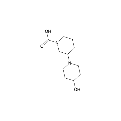 O=C(O)N1CCCC(N2CCC(O)CC2)C1